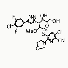 COC1C(n2cc(-c3cc(F)c(Cl)c(F)c3)nn2)[C@@H](O)C(CO)O[C@@H]1Sc1cc(Cl)c(C#N)nc1N1CCOCC1